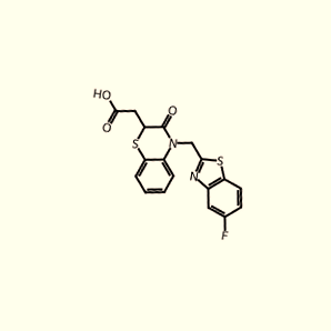 O=C(O)CC1Sc2ccccc2N(Cc2nc3cc(F)ccc3s2)C1=O